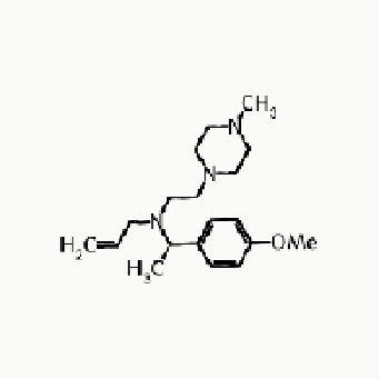 C=CCN(CCN1CCN(C)CC1)[C@H](C)c1ccc(OC)cc1